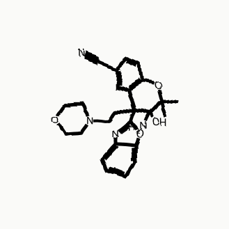 CC1(C)Oc2ccc(C#N)cc2C(CCN2CCOCC2)(c2nc3ccccc3o2)C1(N)O